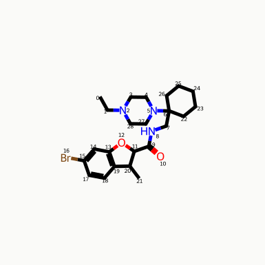 CCN1CCN(C2(CNC(=O)C3Oc4cc(Br)ccc4C3C)CCCCC2)CC1